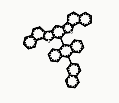 c1ccc2cc(-c3c4ccccc4c(-c4c5oc6c7ccccc7ccc6c5cc5c4oc4c6ccccc6ccc54)c4ccccc34)ccc2c1